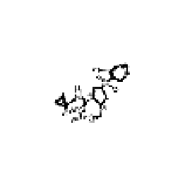 COC[C@@H]1CC(S(=O)(=O)c2ccccc2Cl)C[C@H]1C(=O)NC1(C#N)CC1